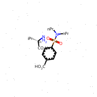 CC(C)[C@H](N)C(=O)O.CCCN(CCC)S(=O)(=O)c1ccc(C(=O)O)cc1